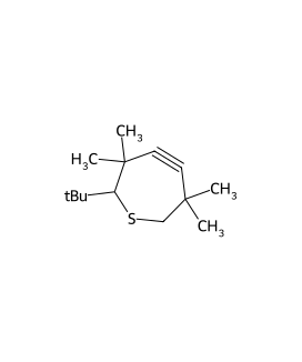 CC1(C)C#CC(C)(C)C(C(C)(C)C)SC1